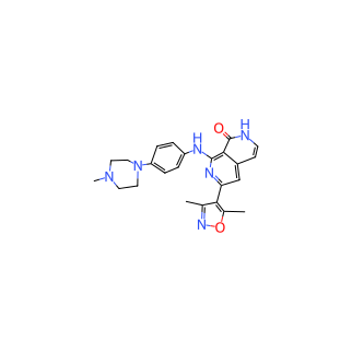 Cc1noc(C)c1-c1cc2cc[nH]c(=O)c2c(Nc2ccc(N3CCN(C)CC3)cc2)n1